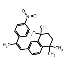 CC(=Cc1ccc2c(c1)C(C)(C)CCC2(C)C)c1ccc([N+](=O)[O-])cc1